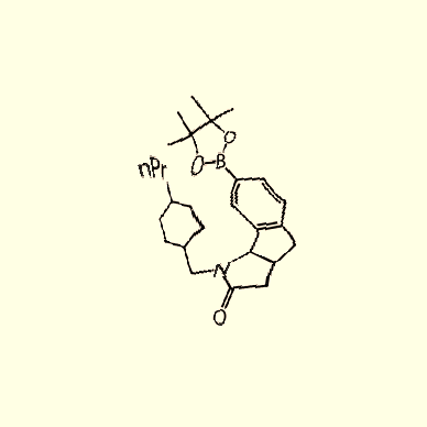 CCCC1CCC(CN2C(=O)CC3Cc4ccc(B5OC(C)(C)C(C)(C)O5)cc4C32)CC1